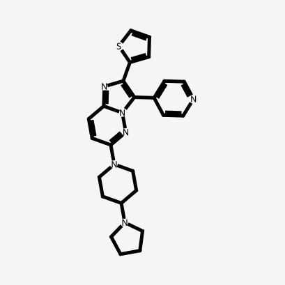 c1csc(-c2nc3ccc(N4CCC(N5CCCC5)CC4)nn3c2-c2ccncc2)c1